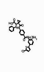 Nc1ccc(-c2ccc(Cl)s2)cc1NC(=O)c1ccc(NC(=O)C2(N(Cc3ccccc3)C(=O)O)CC2)cc1